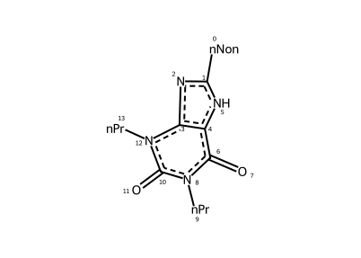 CCCCCCCCCc1nc2c([nH]1)c(=O)n(CCC)c(=O)n2CCC